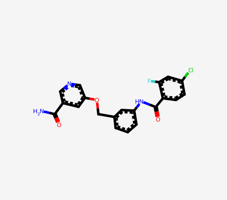 NC(=O)c1cncc(OCc2cccc(NC(=O)c3ccc(Cl)cc3F)c2)c1